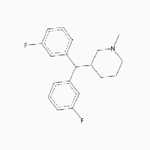 CN1CCCC(C(c2cccc(F)c2)c2cccc(F)c2)C1